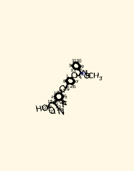 CO/N=C(\COc1ccc(COc2ccc(C(C#N)CC(=O)O)c(F)c2)cc1)c1ccccc1